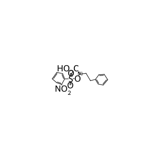 O=C(O)[C@@H](CCc1ccccc1)OS(=O)(=O)c1ccccc1[N+](=O)[O-]